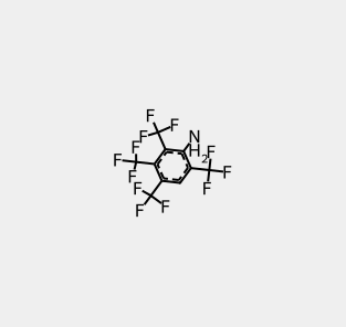 Nc1c(C(F)(F)F)cc(C(F)(F)F)c(C(F)(F)F)c1C(F)(F)F